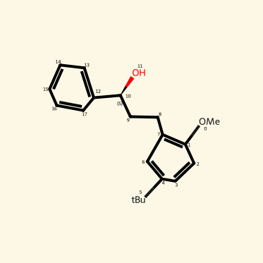 COc1ccc(C(C)(C)C)cc1CC[C@H](O)c1ccccc1